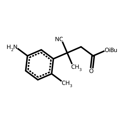 Cc1ccc(N)cc1C(C)(C#N)CC(=O)OCC(C)C